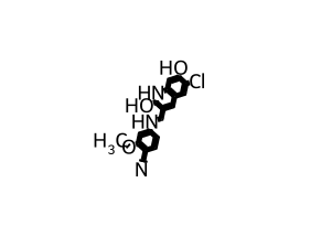 COc1cc(NCC2=Cc3cc(Cl)c(O)cc3NC2O)ccc1C#N